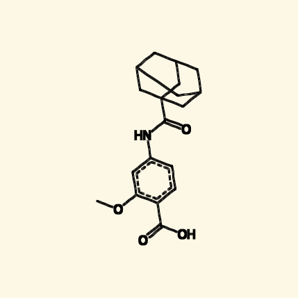 COc1cc(NC(=O)C23CC4CC(CC(C4)C2)C3)ccc1C(=O)O